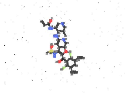 C=CC(=O)Nc1cncc(C)c1Nc1cc2c(N[S+](C)[O-])c(C(=O)c3c(F)c(OC)cc(OC)c3F)oc2cn1